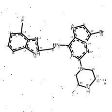 C[C@@H]1CN(c2nc(NCc3nc4c(F)cccc4[nH]3)c3ncc(Br)n3n2)C[C@H](C)N1